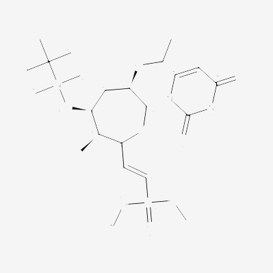 CCO[C@@H]1C[C@H](O[Si](C)(C)C(C)(C)C)[C@H](C)C(/C=C/P(=O)(OC)OC)O[C@H]1n1ccc(=O)[nH]c1=O